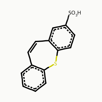 O=S(=O)(O)c1ccc2c(c1)C=Cc1ccccc1S2